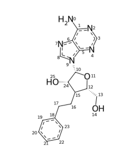 Nc1ncnc2c1ncn2[C@@H]1O[C@H](CO)C(CCc2ccccc2)[C@@H]1O